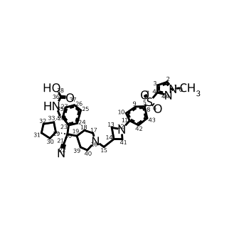 Cn1ccc(S(=O)(=O)c2ccc(N3CC(CN4CCC(C(C#N)(c5ccccc5)[C@@H]5CCC[C@@H]5CNC(=O)O)CC4)C3)cc2)n1